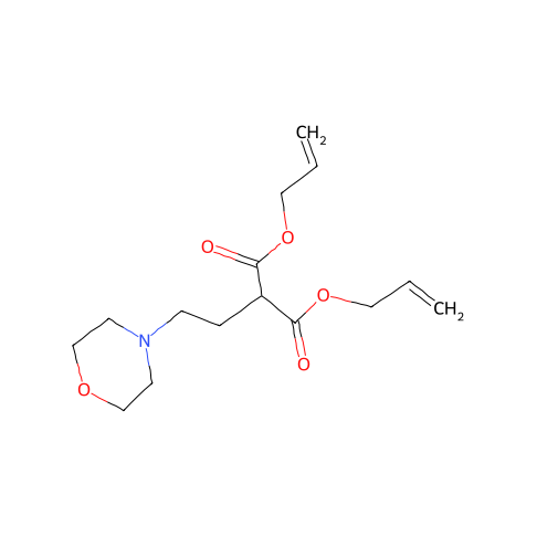 C=CCOC(=O)C(CCN1CCOCC1)C(=O)OCC=C